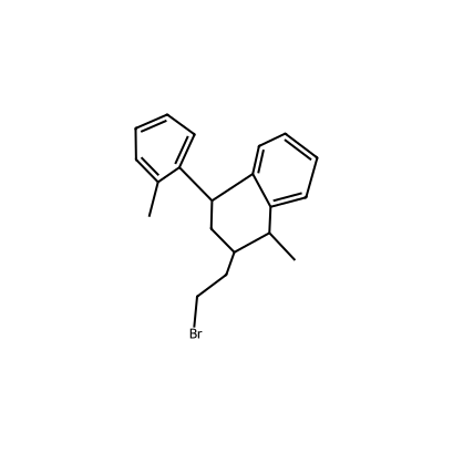 Cc1ccccc1C1CC(CCBr)C(C)c2ccccc21